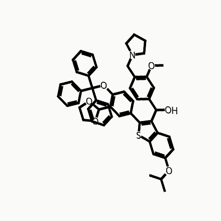 COc1cc(C(O)c2c(-c3ccc(OC(c4ccccc4)(c4ccccc4)c4ccccc4)c(C4OCCO4)c3)sc3cc(OC(C)C)ccc23)ccc1CN1CCCC1